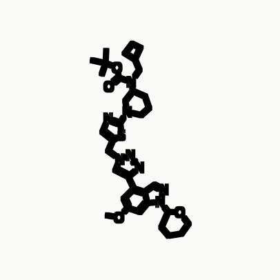 COc1cc(-c2cn(Cc3cnc(N4CCCC(N(CC5CCC5)C(=O)OC(C)(C)C)C4)s3)nn2)c2cnn(C3CCCCO3)c2c1